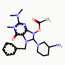 CN(C)c1nc2c(c(=O)n1C)N(Cc1ccccc1)C(N1CCCC(N)C1)N2OC(=O)C(F)(F)F